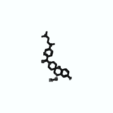 CC(C)O[C@@H]1CC2(CCN(C(=O)c3ccc(N(C)CCN(C)C)cn3)CC2)Oc2ccc(F)cc21